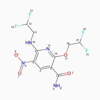 NC(=O)c1cc([N+](=O)[O-])c(NCC(F)F)nc1OCC(F)F